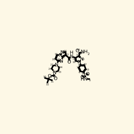 CNS(=O)(=O)c1ccc(-n2cc(NC(=O)c3cnn4ccc(N5CCN(C(=O)OC(C)(C)C)CC5)nc34)c(C(N)=O)n2)cc1